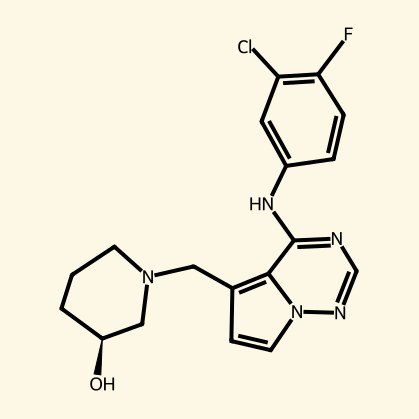 O[C@H]1CCCN(Cc2ccn3ncnc(Nc4ccc(F)c(Cl)c4)c23)C1